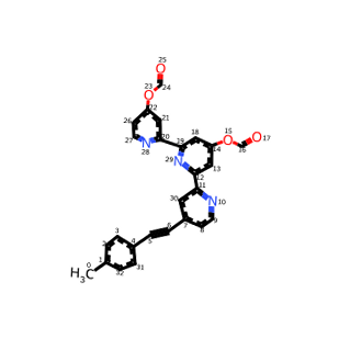 Cc1ccc(C#Cc2ccnc(-c3cc(OC=O)cc(-c4cc(OC=O)ccn4)n3)c2)cc1